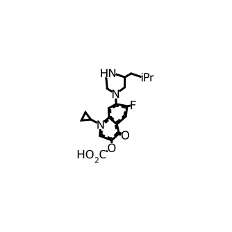 CC(C)CC1CN(c2cc3c(cc2F)c(=O)c(OC(=O)O)cn3C2CC2)CCN1